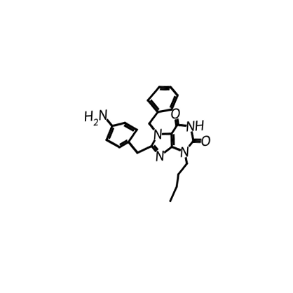 CCCCn1c(=O)[nH]c(=O)c2c1nc(Cc1ccc(N)cc1)n2Cc1ccccc1